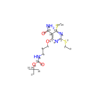 CCSc1nc(OCCCNC(=O)OC(C)(C)C)c(C(N)=O)c(SC)n1